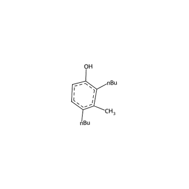 CCCCc1ccc(O)c(CCCC)c1C